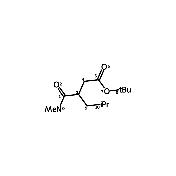 CNC(=O)C(CC(=O)OC(C)(C)C)CC(C)C